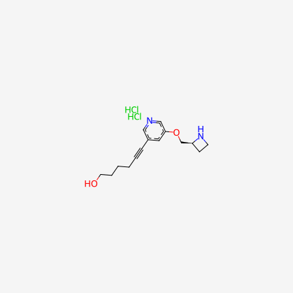 Cl.Cl.OCCCCC#Cc1cncc(OC[C@@H]2CCN2)c1